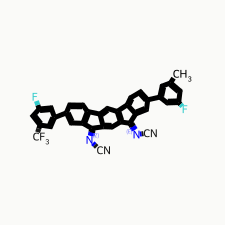 Cc1cc(F)cc(-c2ccc3c(c2)/c(=N\C#N)c2cc4/c(=N\C#N)c5cc(-c6cc(F)cc(C(F)(F)F)c6)ccc5c4cc23)c1